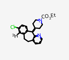 [2H]c1c(Cl)ccc2c1CCc1cccnc1C2=C1CCN(C(=O)OCC)CC1